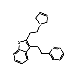 C1=CCN(CCc2sc3ccccc3c2CCc2ccccn2)C1